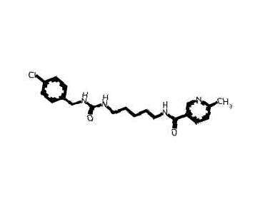 Cc1ccc(C(=O)NCCCCCNC(=O)NCc2ccc(Cl)cc2)cn1